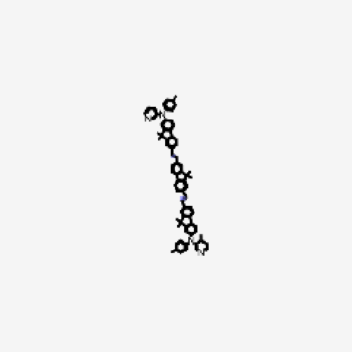 Cc1ccc(N(C2=CN=CCC2C)c2ccc3c(c2)C(C)(C)c2cc(/C=C/c4ccc5c(c4)C(C)(C)c4cc(/C=C/c6ccc7c(c6)C(C)(C)c6cc(N(c8ccc(C)cc8)c8cccnc8)ccc6-7)ccc4-5)ccc2-3)cc1